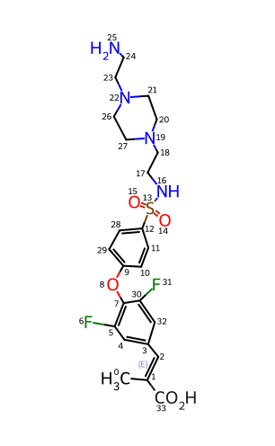 C/C(=C\c1cc(F)c(Oc2ccc(S(=O)(=O)NCCN3CCN(CCN)CC3)cc2)c(F)c1)C(=O)O